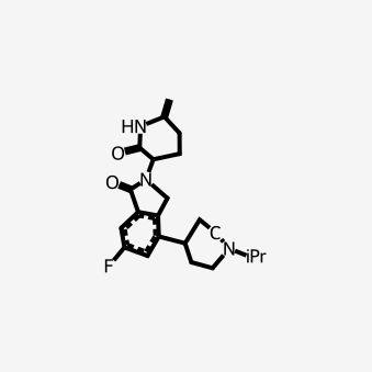 C=C1CCC(N2Cc3c(cc(F)cc3C3CCN(C(C)C)CC3)C2=O)C(=O)N1